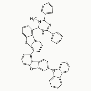 CN1C(c2ccccc2)N=C(c2ccccc2)NC1c1cccc2sc3c(-c4cccc5oc6cc(-n7c8ccccc8c8ccccc87)ccc6c45)cccc3c12